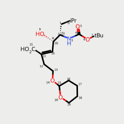 CC(C)C[C@H](NC(=O)OC(C)(C)C)[C@@H](O)C=C(CCOC1CCCCO1)C(=O)O